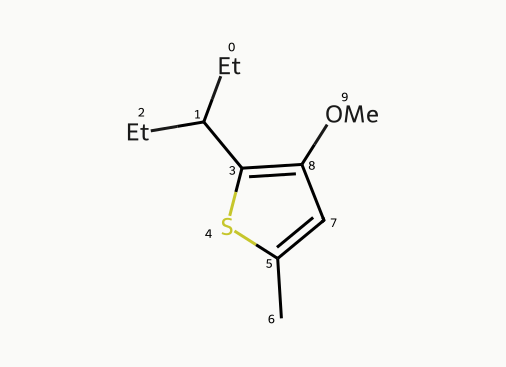 CCC(CC)c1sc(C)cc1OC